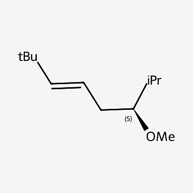 CO[C@@H](CC=CC(C)(C)C)C(C)C